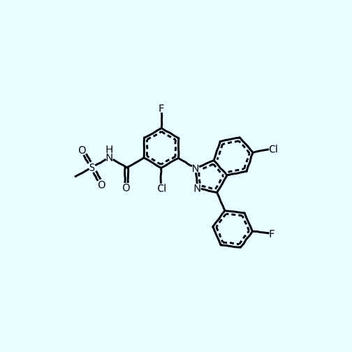 CS(=O)(=O)NC(=O)c1cc(F)cc(-n2nc(-c3cccc(F)c3)c3cc(Cl)ccc32)c1Cl